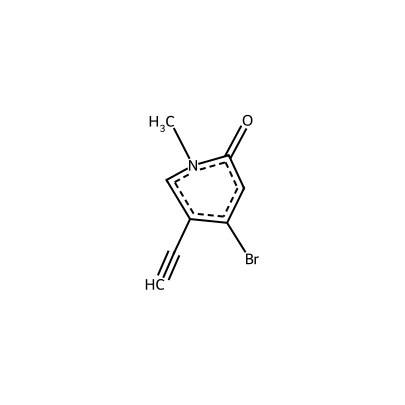 C#Cc1cn(C)c(=O)cc1Br